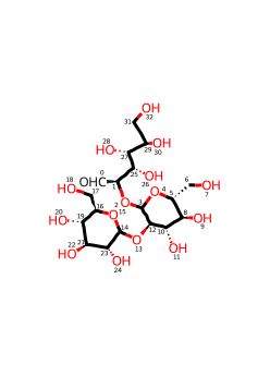 O=C[C@H](OC1O[C@H](CO)[C@@H](O)[C@H](O)[C@H]1OC1O[C@H](CO)[C@@H](O)[C@H](O)[C@H]1O)[C@@H](O)[C@H](O)[C@H](O)CO